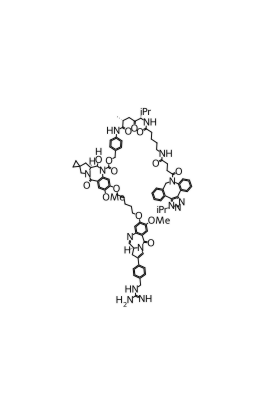 COc1cc2c(cc1OCCCCCOc1cc3c(cc1OC)C(=O)N1CC4(CC4)C[C@H]1C(O)N3C(=O)OCc1ccc(NC(=O)[C@H](C)CC(=O)[C@@H](NC(=O)CCCCNC(=O)CCC(=O)N3Cc4ccccc4-c4c(nnn4C(C)C)-c4ccccc43)C(C)C)cc1)N=C[C@@H]1CC(c3ccc(CNC(=N)N)cc3)=CN1C2=O